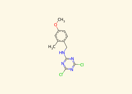 COc1ccc(CNc2nc(Cl)nc(Cl)n2)c(C)c1